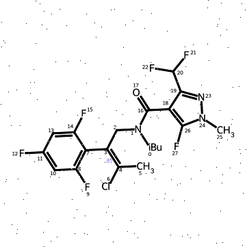 CCC(C)N(C/C(=C(\C)Cl)c1c(F)cc(F)cc1F)C(=O)c1c(C(F)F)nn(C)c1F